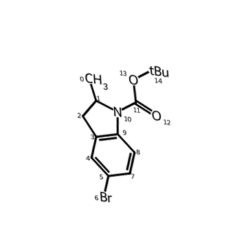 CC1Cc2cc(Br)ccc2N1C(=O)OC(C)(C)C